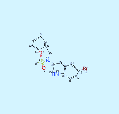 CS(=O)(=O)N(Cc1ccccc1)C1CNc2ccc(Br)cc2C1